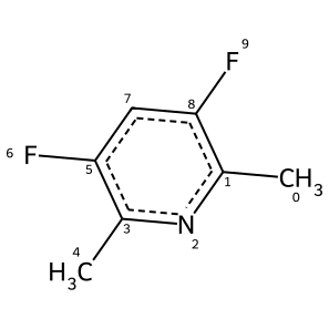 Cc1nc(C)c(F)cc1F